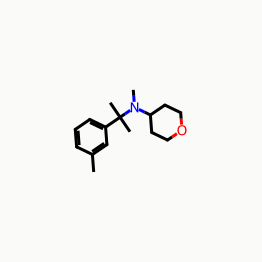 Cc1cccc(C(C)(C)N(C)C2CCOCC2)c1